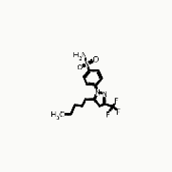 CCCCCC1CC(C(F)(F)F)=NN1c1ccc(S(N)(=O)=O)cc1